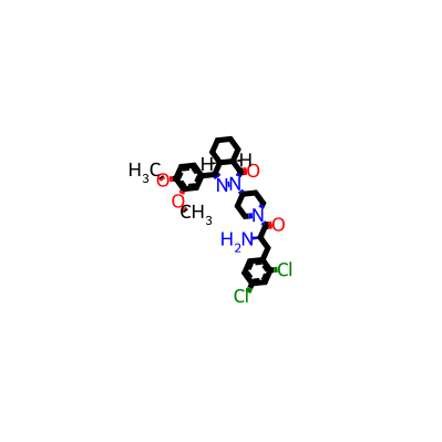 COc1ccc(C2=NN(C3CCN(C(=O)[C@H](N)Cc4ccc(Cl)cc4Cl)CC3)C(=O)[C@@H]3CCCC[C@H]23)cc1OC